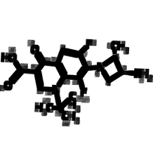 C[C@@H]1[C@@H](N)CN1c1c(F)cc2c(=O)c(C(=O)O)cn(C(C)(C)C)c2c1F